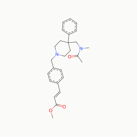 COC(=O)C=Cc1ccc(CN2CCC(CN(C)C(C)=O)(c3ccccc3)CC2)cc1